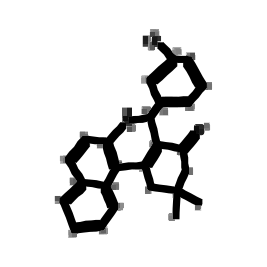 CC1(C)CC(=O)C2=C(C1)c1c(ccc3ccccc13)NC2c1cccc(C(F)(F)F)c1